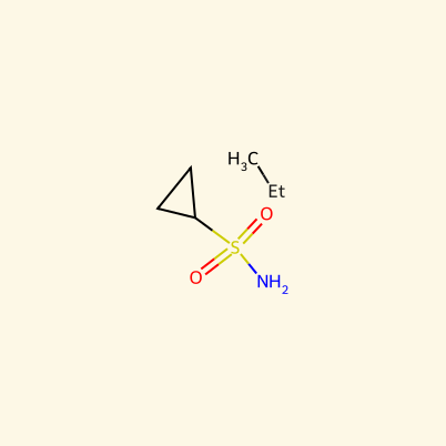 CCC.NS(=O)(=O)C1CC1